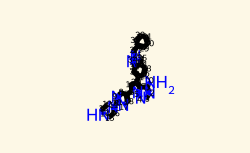 Nc1ncnn2c(-c3cnc(N4CCNCC4)nc3)cc(-c3ccc4cn(Cc5ccccc5)nc4c3)c12